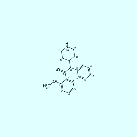 COc1ccccc1C(=O)C(c1ccccc1)C1CCNCC1